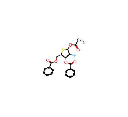 CC(=O)OC1S[C@H](COC(=O)c2ccccc2)[C@@H](OC(=O)c2ccccc2)[C@@H]1F